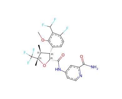 COc1c([C@@H]2[C@H](C(=O)Nc3ccnc(C(N)=O)c3)O[C@](C)(C(F)(F)F)[C@H]2C)ccc(F)c1C(F)F